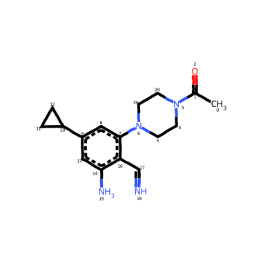 CC(=O)N1CCN(c2cc(C3CC3)cc(N)c2C=N)CC1